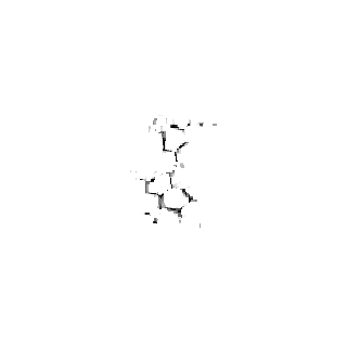 COc1cc(Nc2nc(C)cc3c([N+](=O)[O-])c(C)ccc23)cc(OC)c1